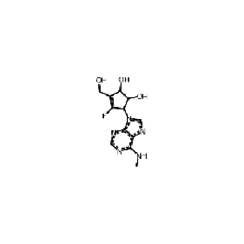 CNc1ncnc2c1ncn2C1C(F)=C(CO)C(O)C1O